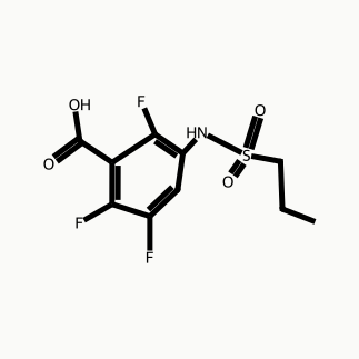 CCCS(=O)(=O)Nc1cc(F)c(F)c(C(=O)O)c1F